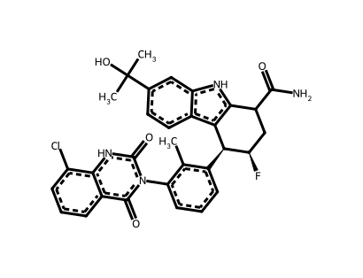 Cc1c([C@H]2c3c([nH]c4cc(C(C)(C)O)ccc34)C(C(N)=O)C[C@H]2F)cccc1-n1c(=O)[nH]c2c(Cl)cccc2c1=O